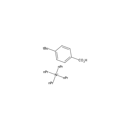 CC(C)(C)c1ccc(C(=O)O)cc1.CCC[N+](CCC)(CCC)CCC